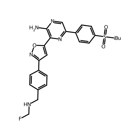 CCC(C)S(=O)(=O)c1ccc(-c2cnc(N)c(-c3cc(-c4ccc(CNCF)cc4)no3)n2)cc1